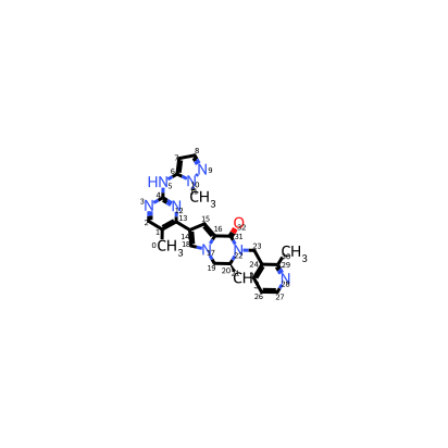 Cc1cnc(Nc2ccnn2C)nc1-c1cc2n(c1)C[C@H](C)N(Cc1cccnc1C)C2=O